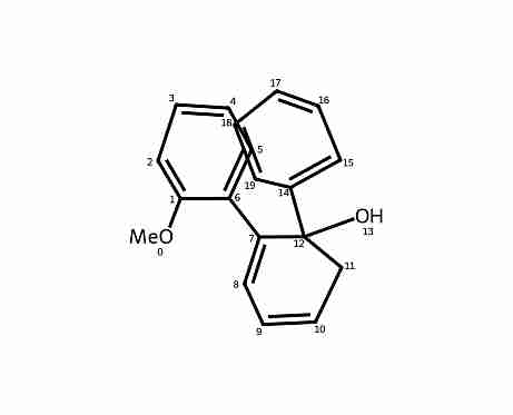 COc1ccccc1C1=CC=CCC1(O)c1ccccc1